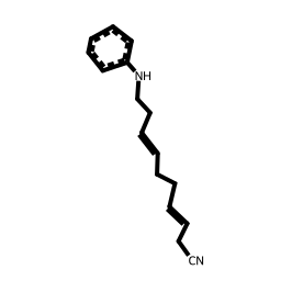 N#CC/C=C/CC/C=C/CCNc1ccccc1